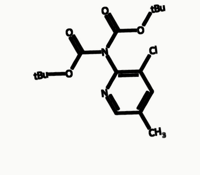 Cc1cnc(N(C(=O)OC(C)(C)C)C(=O)OC(C)(C)C)c(Cl)c1